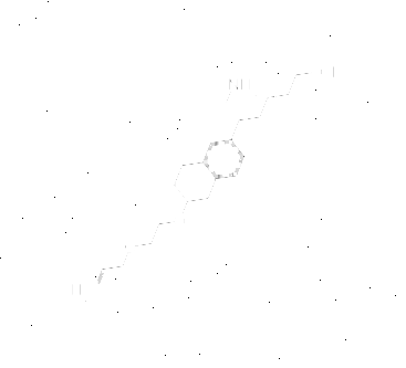 C=CCOCCOC1CCc2cc([C@H](CN)CCCCO)ccc2C1